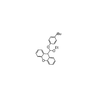 CCOC(Oc1ccc(C(C)CC)cc1)C1c2ccccc2Oc2ccccc21